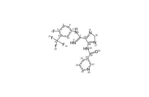 N=C(Nc1ccc(F)c(C(F)(F)F)c1)C1=NCN=C1NC(=O)c1cccnc1